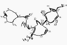 NC1=C(NC(=O)C2CCOCC2)CC(c2ccc(F)cc2)C=C1